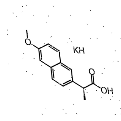 COc1ccc2cc([C@H](C)C(=O)O)ccc2c1.[KH]